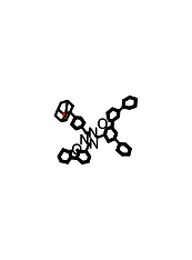 c1ccc(-c2ccc3oc4c(-c5nc(-c6ccc(C78CC9CC(CC(C9)C7)C8)cc6)nc(-c6cccc7c6oc6ccccc67)n5)cc(-c5ccccc5)cc4c3c2)cc1